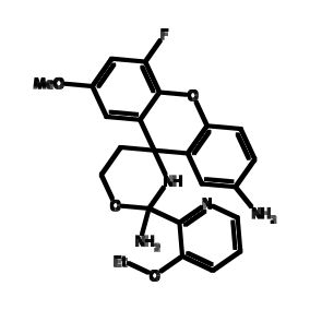 CCOc1cccnc1C1(N)NC2(CCO1)c1cc(N)ccc1Oc1c(F)cc(OC)cc12